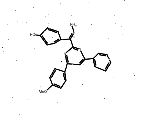 COc1ccc(-c2cc(-c3ccccc3)nc(/C(=N/N)c3ccc(O)cc3)n2)cc1